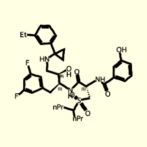 CCCC(CCC)S(=O)(=O)C[C@@H](NC(=O)c1cccc(O)c1)C(=O)N[C@@H](Cc1cc(F)cc(F)c1)[C@H](O)CNC1(c2cccc(CC)c2)CC1